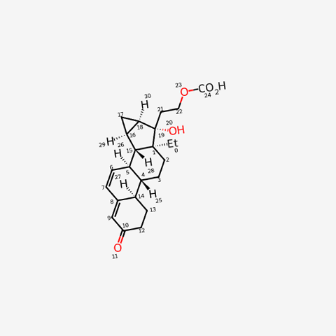 CC[C@]12CC[C@H]3[C@@H](C=CC4=CC(=O)CC[C@@H]43)[C@@H]1[C@H]1C[C@H]1[C@@]2(O)CCOC(=O)O